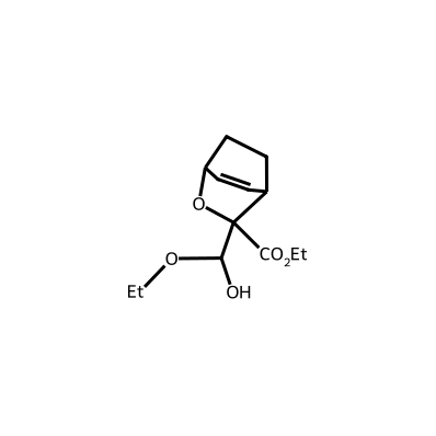 CCOC(=O)C1(C(O)OCC)OC2C=CC1CC2